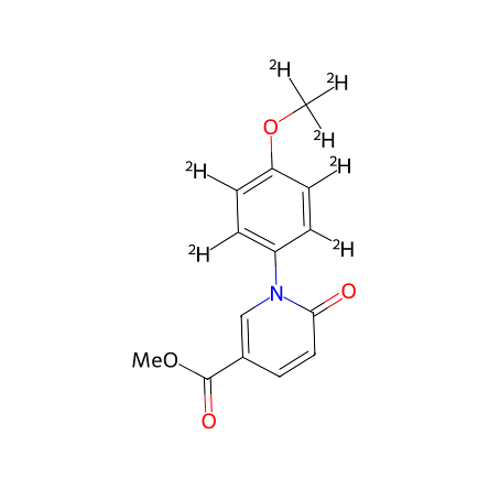 [2H]c1c([2H])c(-n2cc(C(=O)OC)ccc2=O)c([2H])c([2H])c1OC([2H])([2H])[2H]